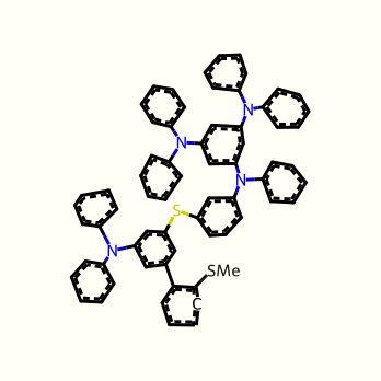 CSc1ccccc1-c1cc(Sc2cccc(N(c3ccccc3)c3cc(N(c4ccccc4)c4ccccc4)cc(N(c4ccccc4)c4ccccc4)c3)c2)cc(N(c2ccccc2)c2ccccc2)c1